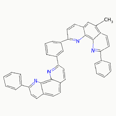 Cc1cc2ccc(-c3cccc(-c4ccc5ccc6ccc(-c7ccccc7)nc6c5n4)c3)nc2c2nc(-c3ccccc3)ccc12